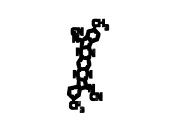 Cc1ccc2c(c1)/c(=N\C#N)c1nc3cc4nc5c(nc4cc3nc12)/c(=N/C#N)c1cc(C(F)(F)F)ccc15